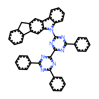 c1ccc(-c2nc(-c3ccccc3)nc(-c3nc(-c4ccccc4)nc(-n4c5ccccc5c5cc6c(cc54)-c4ccccc4C6)n3)n2)cc1